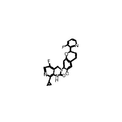 O=C1Nc2c(C3CC3)ncc(F)c2CN1c1cc2c(cc1Cl)CCC(c1ncccc1F)O2